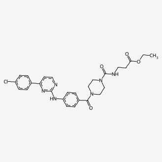 CCOC(=O)CCNC(=O)N1CCN(C(=O)c2ccc(Nc3nccc(-c4ccc(Cl)cc4)n3)cc2)CC1